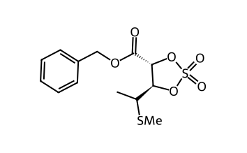 CSC(C)[C@@H]1OS(=O)(=O)O[C@H]1C(=O)OCc1ccccc1